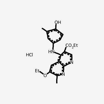 CCOC(=O)c1cnc2nc(C)c(OCC)cc2c1Nc1ccc(O)c(C)c1.Cl